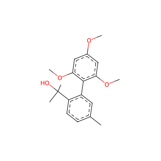 COc1cc(OC)c(-c2cc(C)ccc2C(C)(C)O)c(OC)c1